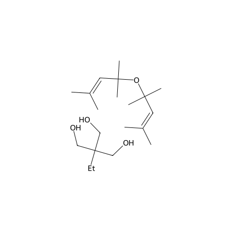 CC(C)=CC(C)(C)OC(C)(C)C=C(C)C.CCC(CO)(CO)CO